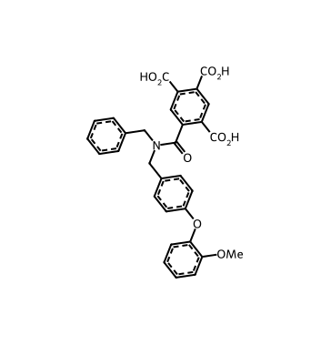 COc1ccccc1Oc1ccc(CN(Cc2ccccc2)C(=O)c2cc(C(=O)O)c(C(=O)O)cc2C(=O)O)cc1